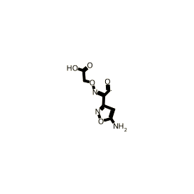 Nc1cc(C([C]=O)=NOCC(=O)O)no1